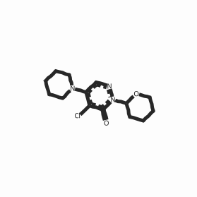 O=c1c(Cl)c(N2CC[CH]CC2)cnn1C1CCCCO1